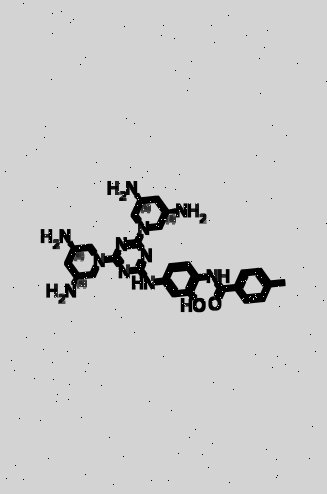 Cc1ccc(C(=O)Nc2ccc(Nc3nc(N4C[C@H](N)C[C@H](N)C4)nc(N4C[C@H](N)C[C@H](N)C4)n3)cc2O)cc1